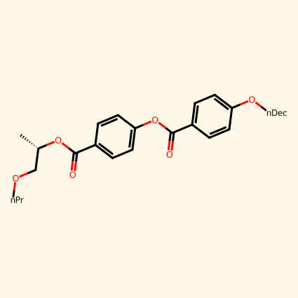 CCCCCCCCCCOc1ccc(C(=O)Oc2ccc(C(=O)O[C@@H](C)COCCC)cc2)cc1